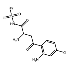 CC(C)S(=O)(=O)NC(=O)C(N)CC(=O)c1ccc(Cl)cc1N